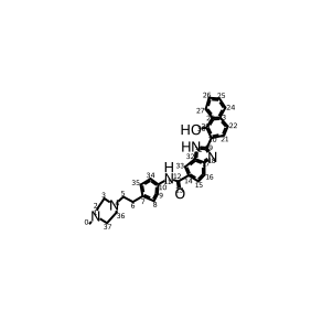 CN1CCN(CCc2ccc(NC(=O)c3ccc4nc(-c5ccc6ccccc6c5O)[nH]c4c3)cc2)CC1